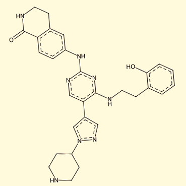 O=C1NCCc2cc(Nc3ncc(-c4cnn(C5CCNCC5)c4)c(NCCc4ccccc4O)n3)ccc21